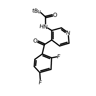 CC(C)(C)C(=O)Nc1cnccc1C(=O)c1ccc(F)cc1F